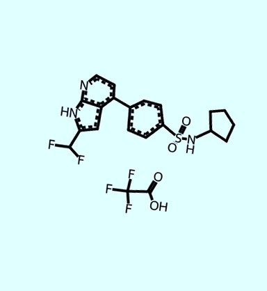 O=C(O)C(F)(F)F.O=S(=O)(NC1CCCC1)c1ccc(-c2ccnc3[nH]c(C(F)F)cc23)cc1